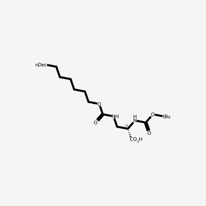 CCCCCCCCCCCCCCCCOC(=O)NC[C@H](NC(=O)OC(C)(C)C)C(=O)O